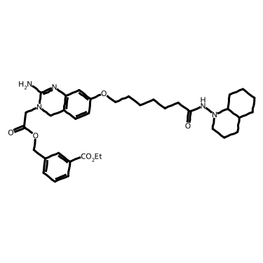 CCOC(=O)c1cccc(COC(=O)CN2Cc3ccc(OCCCCCCC(=O)NN4CCCC5CCCCC54)cc3N=C2N)c1